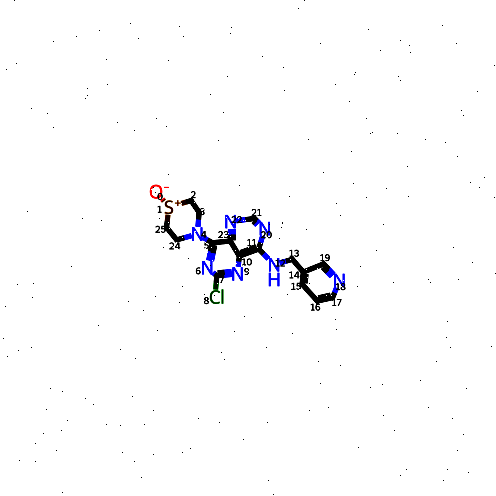 [O-][S+]1CCN(c2nc(Cl)nc3c(NCc4cccnc4)ncnc23)CC1